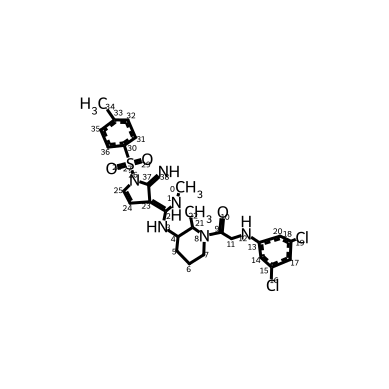 CN/C(NC1CCCN(C(=O)CNc2cc(Cl)cc(Cl)c2)C1C)=C1/C=CN(S(=O)(=O)c2ccc(C)cc2)C1=N